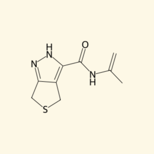 C=C(C)NC(=O)c1[nH]nc2c1CSC2